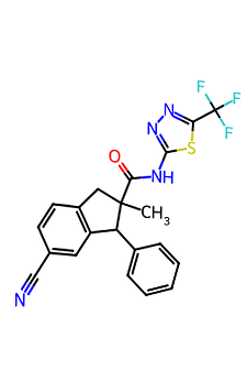 CC1(C(=O)Nc2nnc(C(F)(F)F)s2)Cc2ccc(C#N)cc2C1c1ccccc1